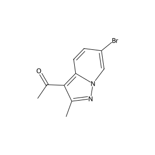 CC(=O)c1c(C)nn2cc(Br)ccc12